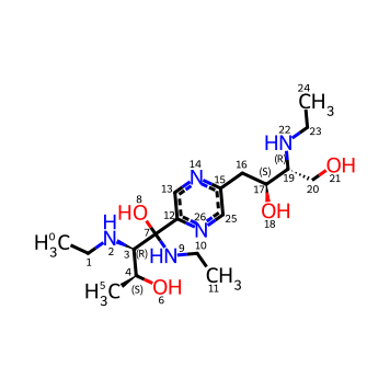 CCN[C@H]([C@H](C)O)C(O)(NCC)c1cnc(C[C@H](O)[C@@H](CO)NCC)cn1